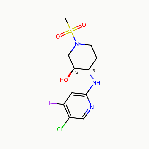 CS(=O)(=O)N1CC[C@H](Nc2cc(I)c(Cl)cn2)[C@@H](O)C1